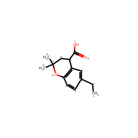 CCc1ccc2c(c1)C(C(=O)O)CC(C)(C)O2